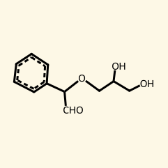 O=CC(OCC(O)CO)c1ccccc1